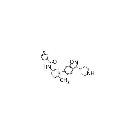 Cc1ccc(NC(=O)c2ccsc2)cc1-c1ccc2c(C3CCNCC3)noc2c1